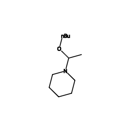 CCCCOC(C)N1CCCCC1